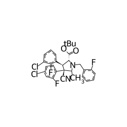 CC1N(Cc2ccccc2F)[C@@H](C(=O)OC(C)(C)C)[C@H](c2cccc(Cl)c2F)[C@@]1(C#N)c1ccc(Cl)cc1F